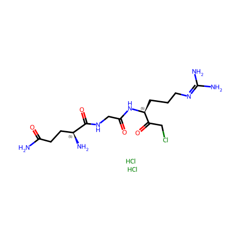 Cl.Cl.NC(=O)CC[C@H](N)C(=O)NCC(=O)N[C@@H](CCCN=C(N)N)C(=O)CCl